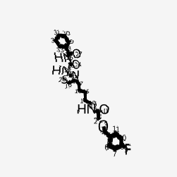 O=C(COCc1ccc(F)cc1)NCCCCCc1csc(NC(=O)NC(=O)c2ccccc2)n1